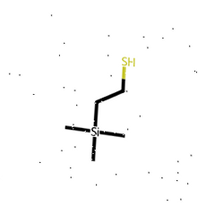 C[Si](C)(C)C[CH]S